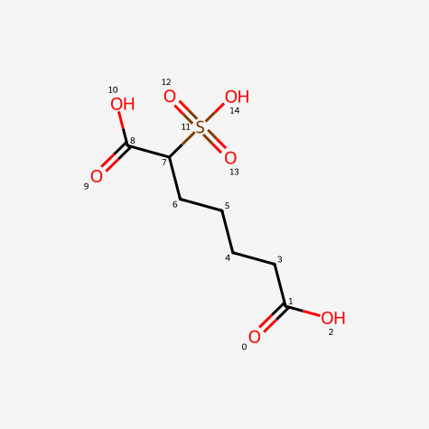 O=C(O)CCCCC(C(=O)O)S(=O)(=O)O